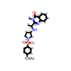 COc1ccc(S(=O)(=O)N2CCC(NC(C)c3nc4ccccc4c(=O)n3C)C2)cc1